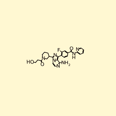 Nc1nccn2c(C3CCCN(C(=O)CCO)C3)nc(-c3ccc(C(=O)Nc4ccccn4)cc3F)c12